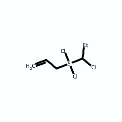 C=CC[Si](Cl)(Cl)C(Cl)CC